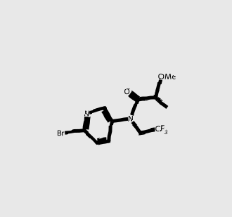 COC(C)C(=O)N(CC(F)(F)F)c1ccc(Br)nc1